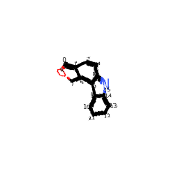 C1=c2ccc3c(c2CO1)-c1ccccc1N=3